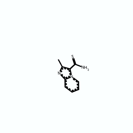 Cc1nc2ccccn2c1C(N)=S